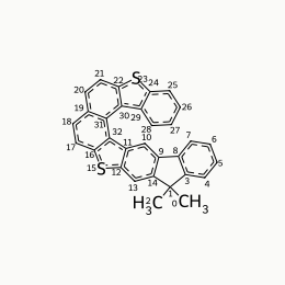 CC1(C)c2ccccc2-c2cc3c(cc21)sc1ccc2ccc4sc5ccccc5c4c2c13